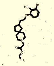 CCOC(=O)CN1CCC2(CCC(CCOc3cccc(Br)c3C)C2)CC1